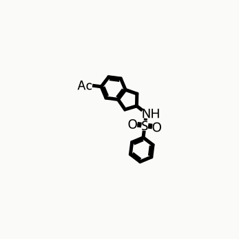 CC(=O)c1ccc2c(c1)CC(NS(=O)(=O)c1ccccc1)C2